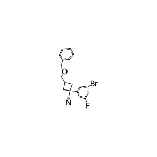 N#CC1(c2cc(F)cc(Br)c2)CC(COCc2ccccc2)C1